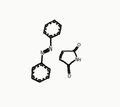 O=C1C=CC(=O)N1.c1ccc(N=Nc2ccccc2)cc1